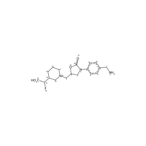 NCc1ccc(N2CC(CN3CCCC(C(F)C(=O)O)C3)OC2=O)cc1